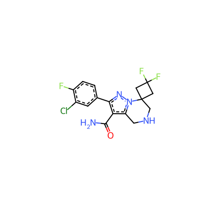 NC(=O)c1c(-c2ccc(F)c(Cl)c2)nn2c1CNCC21CC(F)(F)C1